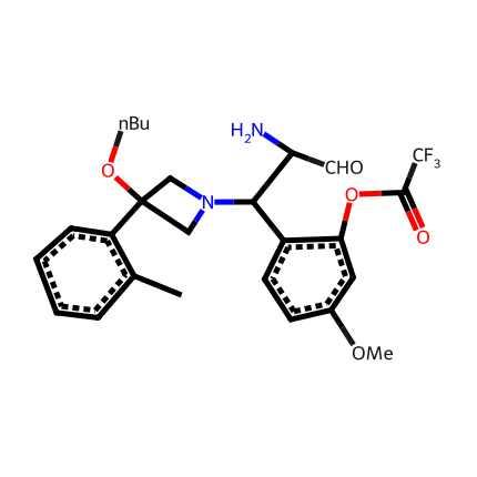 CCCCOC1(c2ccccc2C)CN(C(c2ccc(OC)cc2OC(=O)C(F)(F)F)C(N)C=O)C1